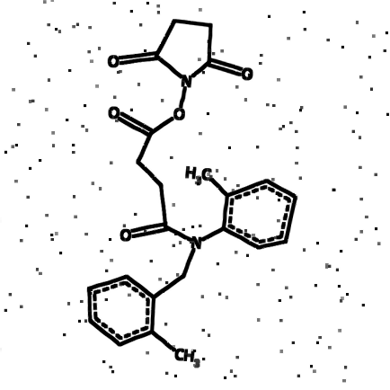 Cc1ccccc1CN(C(=O)CCC(=O)ON1C(=O)CCC1=O)c1ccccc1C